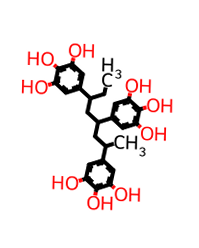 CCC(CC(CC(C)c1cc(O)c(O)c(O)c1)c1cc(O)c(O)c(O)c1)c1cc(O)c(O)c(O)c1